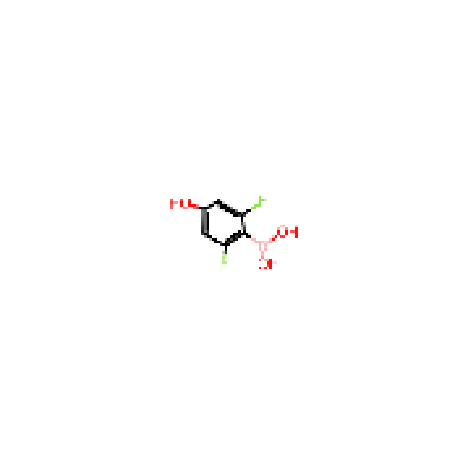 OB(O)c1c(F)cc(O)cc1F